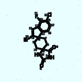 O=C1NC(=O)C2(CCC3(CC2)C(Br)=Cc2c3ccc(Cl)c2F)N1